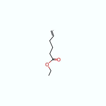 [CH]=CCCCC(=O)OCC